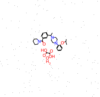 CC(C)Oc1ccccc1N1CCN(C(C)c2cccc(C(=O)N3CCCCC3)c2)CC1.O.O=C(O)C(=O)O